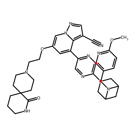 COc1ccc(CN2C3CC2CN(c2cnc(-c4cc(OCCN5CCC6(CCCNC6=O)CC5)cn5ncc(C#N)c45)cn2)C3)cn1